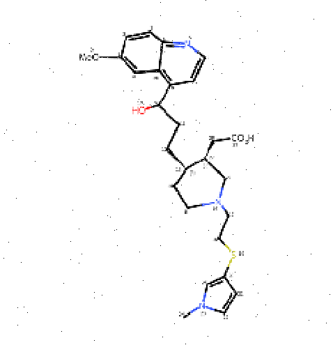 COc1ccc2nccc(C(O)CC[C@@H]3CCN(CCSc4ccn(C)c4)C[C@@H]3CC(=O)O)c2c1